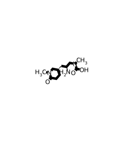 CN(C[C@H](N)C[C@@H]1CCC(=O)N(C)C1)C(=O)O